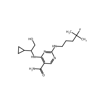 CC(C)(F)CCCNc1ncc(C(N)=O)c(NC(CO)C2CC2)n1